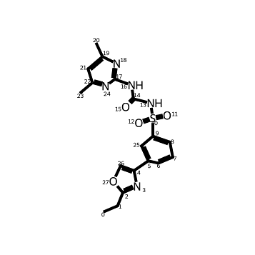 CCc1nc(-c2cccc(S(=O)(=O)NC(=O)Nc3nc(C)cc(C)n3)c2)co1